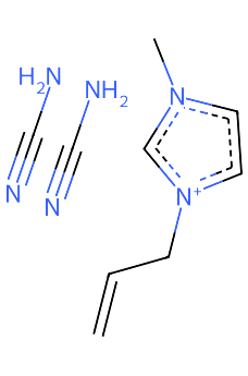 C=CC[n+]1ccn(C)c1.N#CN.N#CN